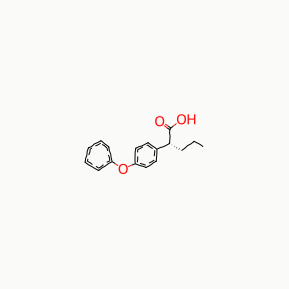 CCC[C@@H](C(=O)O)c1ccc(Oc2ccccc2)cc1